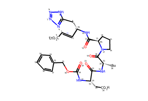 CCOC(=O)/C=C/[C@H](Cc1nnn[nH]1)NC(=O)[C@H]1CCCN1C(=O)[C@@H](NC(=O)[C@H](CC(=O)O)NC(=O)OCc1ccccc1)C(C)(C)C